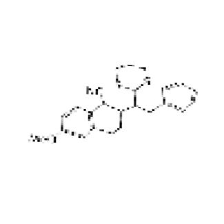 COc1ccc2c(c1)CCC(C(Cc1ccccc1)C1SCCCS1)C2C#N